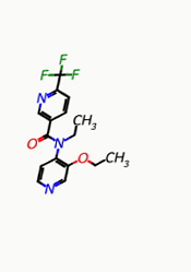 CCOc1cnccc1N(CC)C(=O)c1ccc(C(F)(F)F)nc1